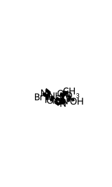 CN1O[C@H](CO)Cn2nc3c(c2C1=O)CN(C(=O)Nc1ccnc(Br)c1F)CC3